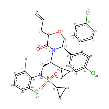 C=CCC1O[C@H](c2cccc(Cl)c2)[C@@H](c2ccc(Cl)cc2)N([C@H](CN(c2c(F)cccc2F)S(=O)(=O)C2CC2)C2CC2)C1=O